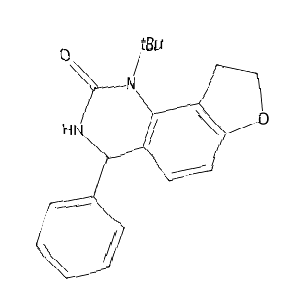 CC(C)(C)N1C(=O)NC(c2ccccc2)c2ccc3c(c21)CCO3